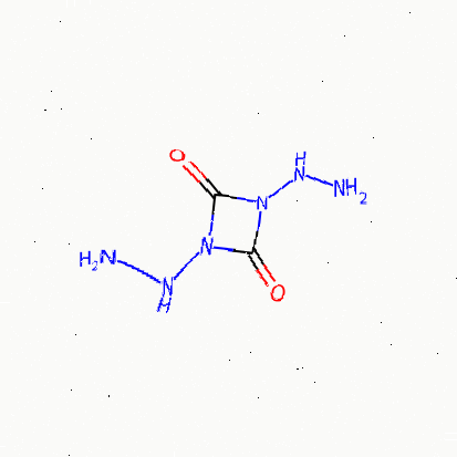 NNN1C(=O)N(NN)C1=O